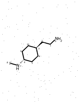 NCC[C@H]1CC[C@H](NI)CC1